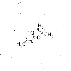 [CH2]C([CH2])OC(=O)CCC